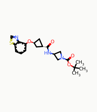 CC(C)(C)OC(=O)N1CC(NC(=O)[C@H]2C[C@H](Oc3cccc4scnc34)C2)C1